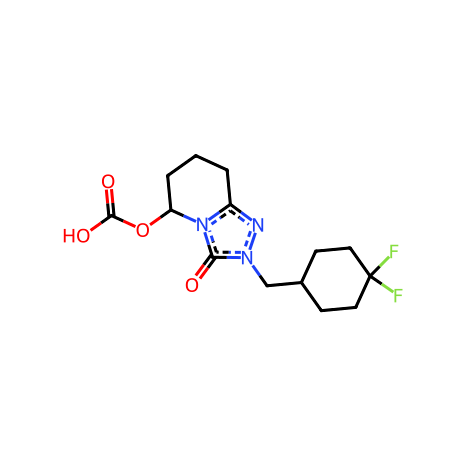 O=C(O)OC1CCCc2nn(CC3CCC(F)(F)CC3)c(=O)n21